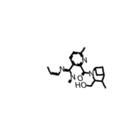 C=N/C(=N\C=C/C)c1ccc(C)nc1C(=O)N1C2CC(C2)C(C)C1CO